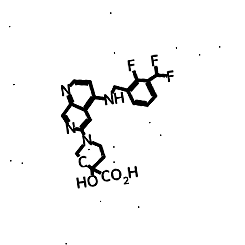 O=C(O)C1(O)CCN(c2cc3c(NCc4cccc(C(F)F)c4F)ccnc3cn2)CC1